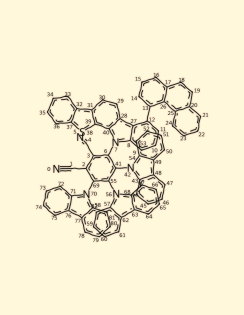 N#Cc1c(C#N)c(-n2c3cccc(-c4cccc5ccc6ccccc6c45)c3c3ccc4c5ccccc5sc4c32)c(-n2c3ccccc3c3ccccc32)c(-n2c3ccccc3c3ccccc32)c1-n1c2ccccc2c2ccccc21